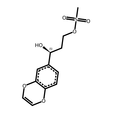 CS(=O)(=O)OCC[C@H](O)c1ccc2c(c1)OC=CO2